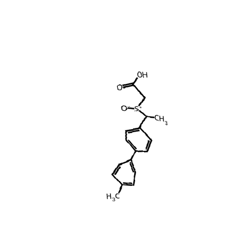 Cc1ccc(-c2ccc(C(C)[S+]([O-])CC(=O)O)cc2)cc1